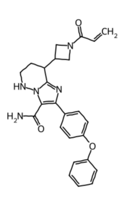 C=CC(=O)N1CC(C2CCNn3c2nc(-c2ccc(Oc4ccccc4)cc2)c3C(N)=O)C1